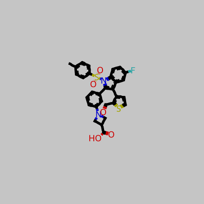 Cc1ccc(S(=O)(=O)n2c(-c3cccc(N4CC(C(=O)O)C4)c3)c(-c3ccsc3C=O)c3cc(F)ccc32)cc1